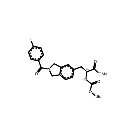 COC(=O)[C@H](Cc1ccc2c(c1)CN(C(=O)c1ccc(F)cc1)C2)NC(=O)OC(C)(C)C